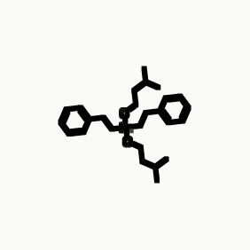 CC(C)CC[O][Sn]([CH2]Cc1ccccc1)([CH2]Cc1ccccc1)[O]CCC(C)C